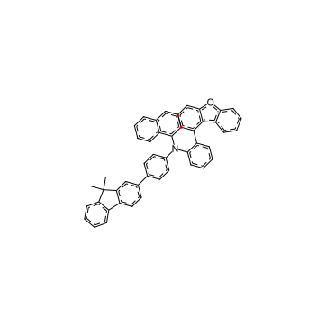 CC1(C)c2ccccc2-c2ccc(-c3ccc(N(c4ccccc4-c4cccc5oc6ccccc6c45)c4cccc5ccccc45)cc3)cc21